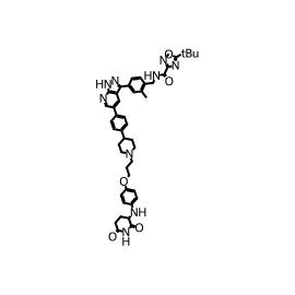 Cc1cc(-c2n[nH]c3ncc(-c4ccc(C5CCN(CCCOc6ccc(NC7CCC(=O)NC7=O)cc6)CC5)cc4)cc23)ccc1CNC(=O)c1noc(C(C)(C)C)n1